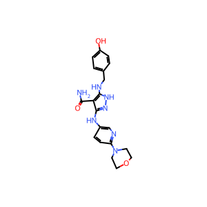 NC(=O)c1c(Nc2ccc(N3CCOCC3)nc2)n[nH]c1NCc1ccc(O)cc1